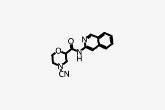 N#CN1CCOC(C(=O)Nc2cc3ccccc3cn2)C1